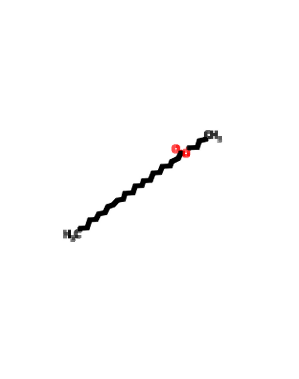 CCCCCCCCCCCCCCCCCCCCCCCC(=O)OCCCCC